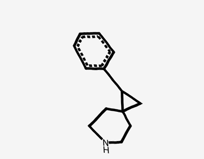 c1ccc(C2CC23CCNCC3)cc1